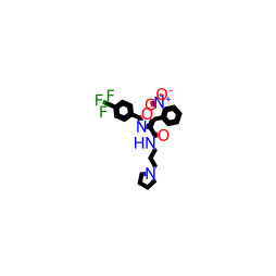 O=C(NCCCN1CCCC1)c1nc(-c2ccc(C(F)(F)F)cc2)oc1-c1ccccc1[N+](=O)[O-]